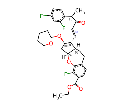 CCOC(=O)c1ccc2c(c1F)O[C@H]1C[C@@H](OC3CCCCO3)[C@H](/C=C/C(=O)[C@H](C)c3ccc(F)cc3F)[C@H]1CC2